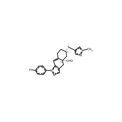 Cn1cc(S[C@H]2CCC3=Cc4c(cnn4-c4ccc(F)cc4)C[C@]3(C=O)C2)cn1